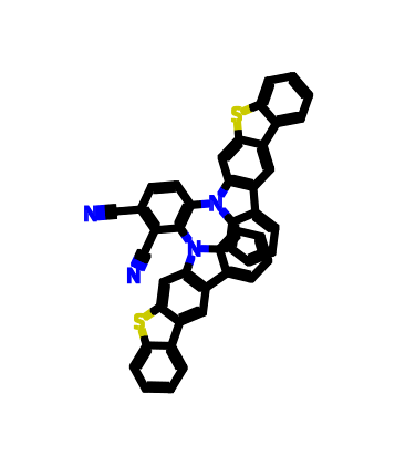 N#Cc1ccc(-n2c3ccccc3c3cc4c(cc32)sc2ccccc24)c(-n2c3ccccc3c3cc4c(cc32)sc2ccccc24)c1C#N